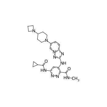 CNC(=O)c1nnc(NC(=O)C2CC2)cc1Nc1nc2ccc(N3CCC(N4CCC4)CC3)cn2n1